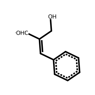 O=[C]C(=Cc1ccccc1)CO